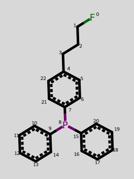 FCCCc1ccc(P(c2ccccc2)c2ccccc2)cc1